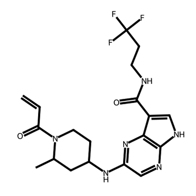 C=CC(=O)N1CCC(Nc2cnc3[nH]cc(C(=O)NCCC(F)(F)F)c3n2)CC1C